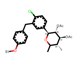 CCOc1ccc(Cc2cc([C@@H]3OC(C)[C@@H](C)[C@H](OC(C)=O)[C@H]3OC(C)=O)ccc2Cl)cc1